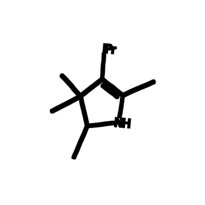 CC1=C(C(C)C)C(C)(C)C(C)N1